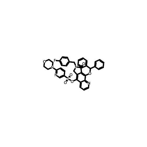 O=C1c2c(c(OS(=O)(=O)c3ccc(N4CCOCC4)nc3)c3cccnc3c2OC(c2ccccc2)c2ccccc2)CN1Cc1ccc(F)cc1